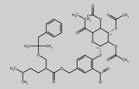 COC(=O)C1O[C@@H](Oc2ccc(COC(=O)N(CCN(C)C)COC(C)(C)Cc3ccccc3)cc2[N+](=O)[O-])C(OC(C)=O)[C@@H](OC(C)=O)C1OC(C)=O